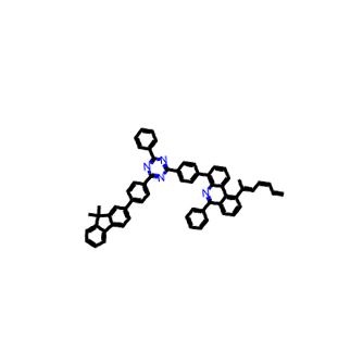 C=C/C=C\C=C(/C)c1cccc2c(-c3ccccc3)nc3c(-c4ccc(-c5nc(-c6ccccc6)nc(-c6ccc(-c7ccc8c(c7)C(C)(C)c7ccccc7-8)cc6)n5)cc4)cccc3c12